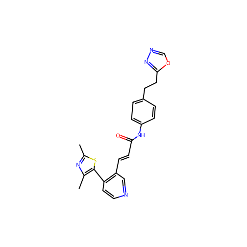 Cc1nc(C)c(-c2ccncc2C=CC(=O)Nc2ccc(CCc3nnco3)cc2)s1